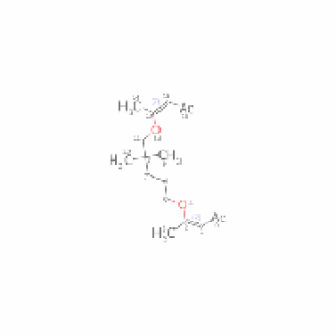 CC(=O)/C=C(/C)OCCCC(C)(C)CO/C(C)=C\C(C)=O